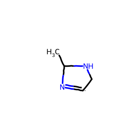 CC1N=[C]CN1